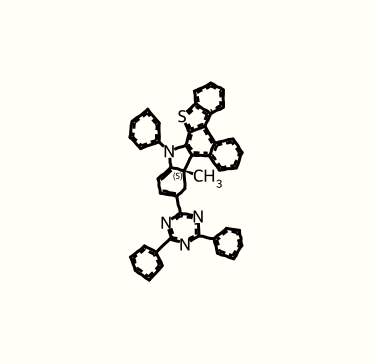 C[C@@]12CC(c3nc(-c4ccccc4)nc(-c4ccccc4)n3)=CC=C1N(c1ccccc1)c1c2c2ccccc2c2c1sc1ccccc12